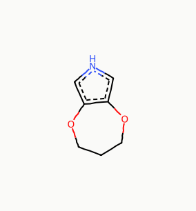 c1[nH]cc2c1OCCCO2